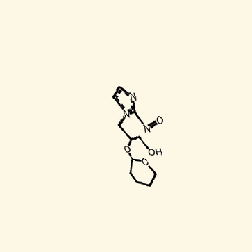 O=Nc1nccn1CC(CO)OC1CCCCO1